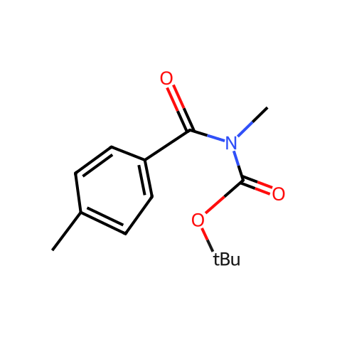 Cc1ccc(C(=O)N(C)C(=O)OC(C)(C)C)cc1